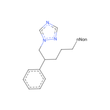 CCCCCCCCCCCCC(Cn1cncn1)c1ccccc1